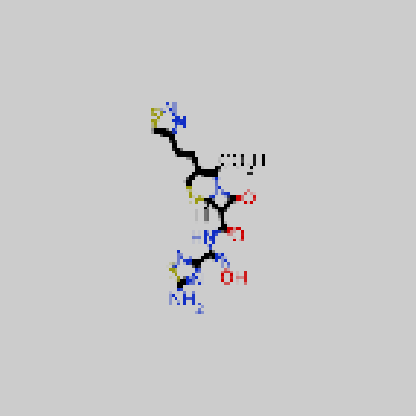 Nc1nc(C(=NO)NC(=O)C2C(=O)N3C(C(=O)O)=C(/C=C/c4csnn4)CS[C@H]23)ns1